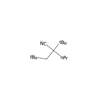 CCCC(C#N)(CC(C)(C)C)C(C)(C)C